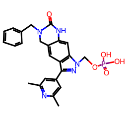 Cc1cc(-c2nn(COP(=O)(O)O)c3cc4c(cc23)CN(Cc2ccccc2)C(=O)N4)cc(C)n1